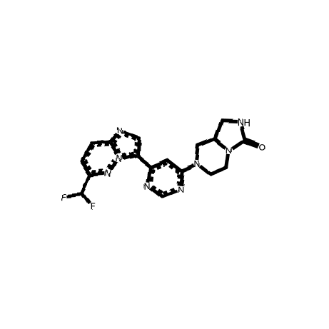 O=C1NCC2CN(c3cc(-c4cnc5ccc(C(F)F)nn45)ncn3)CCN12